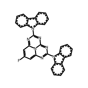 FC1=CC2=NC(n3c4ccccc4c4ccccc43)=NC3=NC(n4c5ccccc5c5ccccc54)=NC(=C1)N23